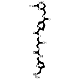 CC(C)(C)NCc1ccc(CNC(=O)OCC(O)COC(=O)c2ccc(C(=O)OCC(CO)OC(=O)C(C)(C)C)cn2)o1